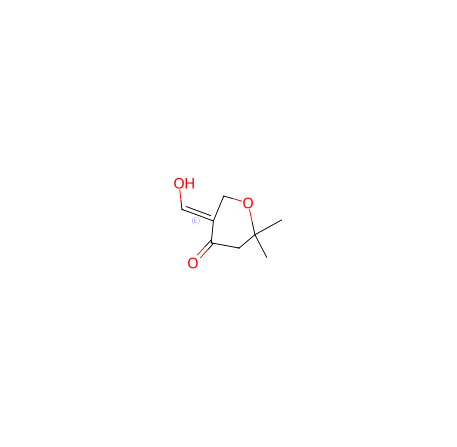 CC1(C)CC(=O)/C(=C/O)CO1